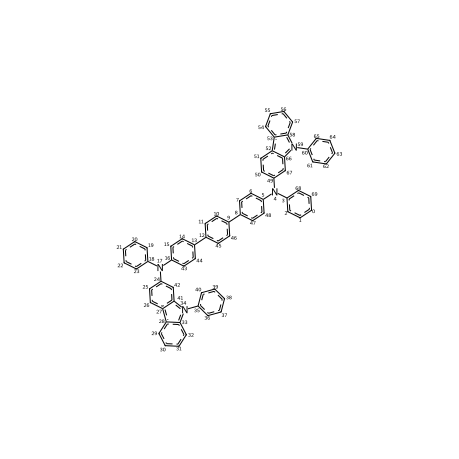 c1ccc(N(c2ccc(-c3ccc(-c4ccc(N(c5ccccc5)c5ccc6c7ccccc7n(-c7ccccc7)c6c5)cc4)cc3)cc2)c2ccc3c4ccccc4n(-c4ccccc4)c3c2)cc1